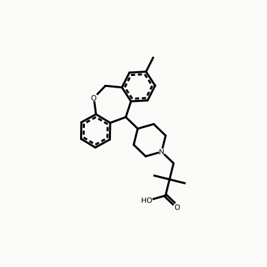 Cc1ccc2c(c1)COc1ccccc1C2C1CCN(CC(C)(C)C(=O)O)CC1